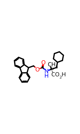 C[C@@](CC1CCCCC1)(NC(=O)OCC1c2ccccc2-c2ccccc21)C(=O)O